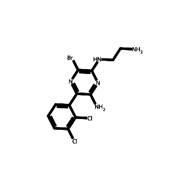 NCCNc1nc(N)c(-c2cccc(Cl)c2Cl)nc1Br